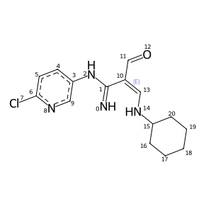 N=C(Nc1ccc(Cl)nc1)/C(C=O)=C\NC1CCCCC1